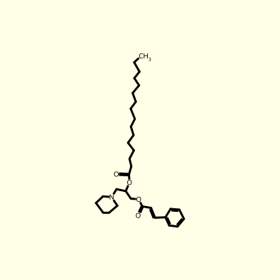 CCCCCCCCCCCCCCCC(=O)OC(COC(=O)C=Cc1ccccc1)CN1CCCCC1